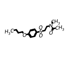 CCCCOc1ccc(S(=O)(=O)CCN(C)C(C)=O)cc1